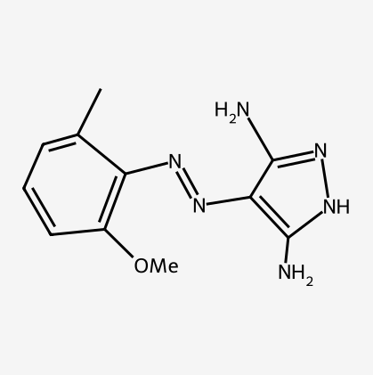 COc1cccc(C)c1N=Nc1c(N)n[nH]c1N